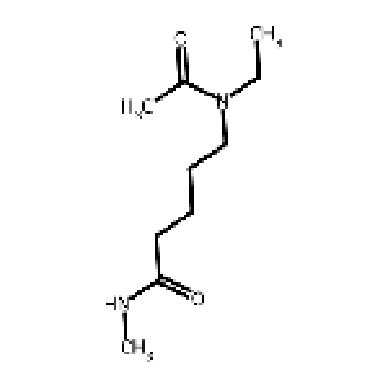 CCN(CCCCC(=O)NC)C(C)=O